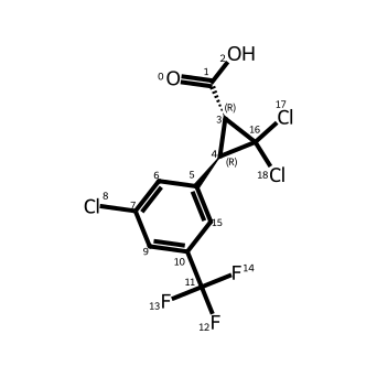 O=C(O)[C@H]1[C@H](c2cc(Cl)cc(C(F)(F)F)c2)C1(Cl)Cl